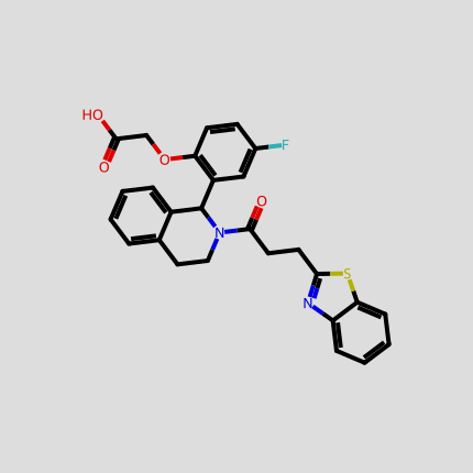 O=C(O)COc1ccc(F)cc1C1c2ccccc2CCN1C(=O)CCc1nc2ccccc2s1